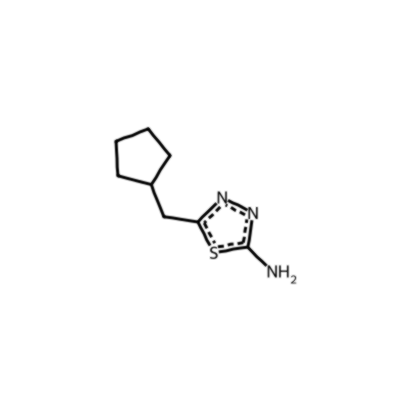 Nc1nnc(CC2CCCC2)s1